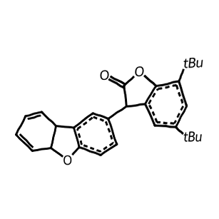 CC(C)(C)c1cc2c(c(C(C)(C)C)c1)OC(=O)C2c1ccc2c(c1)C1C=CC=CC1O2